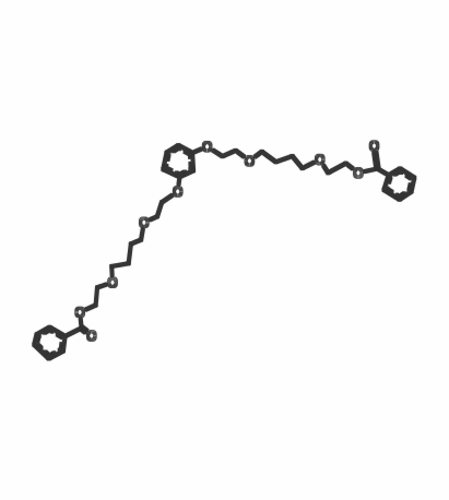 O=C(OCCOCCCCOCCOc1cccc(OCCOCCCCOCCOC(=O)c2ccccc2)c1)c1ccccc1